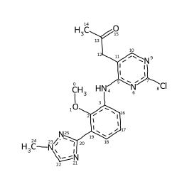 COc1c(Nc2nc(Cl)ncc2CC(C)=O)cccc1-c1ncn(C)n1